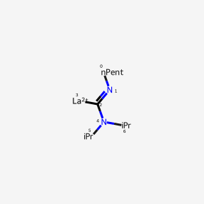 CCCCCN=[C]([La+2])N(C(C)C)C(C)C